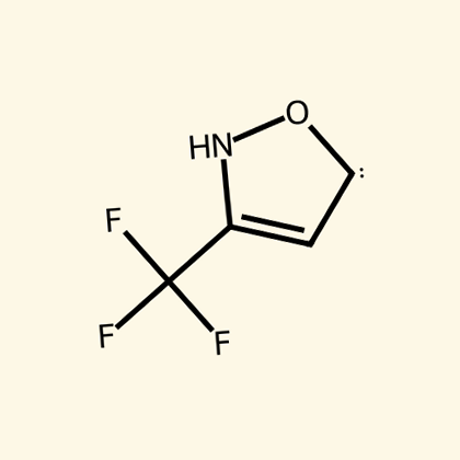 FC(F)(F)C1=C[C]ON1